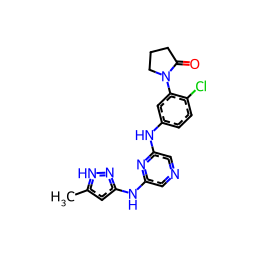 Cc1cc(Nc2cncc(Nc3ccc(Cl)c(N4CCCC4=O)c3)n2)n[nH]1